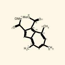 COC(=O)c1cc2c(C)cc(C)cc(C)c-2c1C(=O)OC